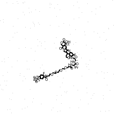 CC[C@@]1(O)C(=O)OCc2c1cc1n(c2=O)Cc2c-1nc1cc(F)c(NC(=O)[C@H](C)NC(=O)[C@@H](NC(=O)CCOCCOCCOCCOCCNC(=O)c3cc4sc(S(C)(=O)=O)nc4cc3F)C(C)C)c3c1c2CCO3